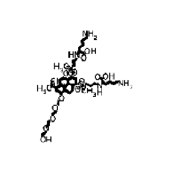 CN(C)c1cc(OCCOCCOCCOCCO)c2ccc3c(S(=O)(=O)N(C)CCCNC(CCCCN)C(=O)O)cc(S(=O)(=O)N(C)CCCNC(CCCCN)C(=O)O)c4ccc1c2c34